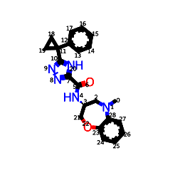 CN1C[C@@H](NC(=O)c2nnc(C3(c4ccccc4)CC3)[nH]2)COc2ccccc21